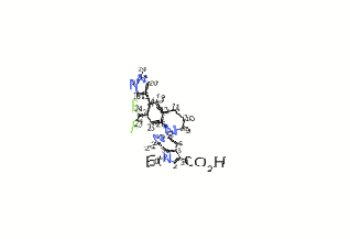 CCn1cc(C(=O)O)c2cc(N3CCCc4cc(-c5cnn(C)c5)c(C(F)F)cc43)nc(C)c21